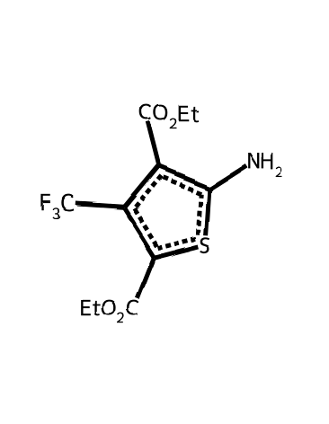 CCOC(=O)c1sc(N)c(C(=O)OCC)c1C(F)(F)F